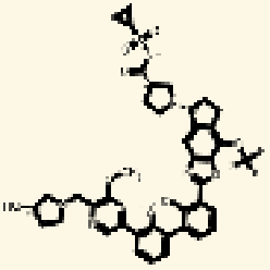 COc1nc(-c2cccc(-c3cccc(-c4nc5cc6c(c(OC(F)(F)F)c5o4)CC[C@H]6N4CC[C@@H](C(=O)NS(=O)(=O)C5CC5)C4)c3Cl)c2C)cnc1CN1CC[C@@H](O)C1